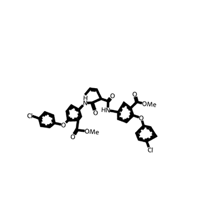 C/C=C\C(C(=O)Nc1ccc(Oc2ccc(Cl)cc2)c(C(=O)OC)c1)C(=O)Nc1ccc(Oc2ccc(Cl)cc2)c(C(=O)OC)c1